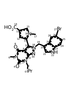 CC(C)Cn1c(=O)n(C)c(=O)c2c(-c3cc(C(=O)O)cn3C)n(Cc3c[nH]c4ccc(Br)cc34)nc21